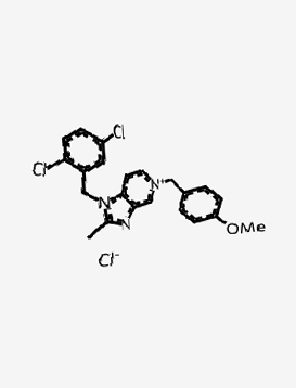 COc1ccc(C[n+]2ccc3c(c2)nc(C)n3Cc2cc(Cl)ccc2Cl)cc1.[Cl-]